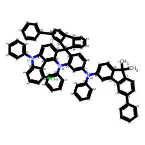 CC1(C)c2ccc(-c3ccccc3)cc2-c2cc(N(c3ccccc3)c3ccc4c(c3)N(c3ccccc3)c3c(ccc5c3c3c(Cl)cccc3n5-c3ccccc3)C43c4ccccc4-c4ccc(-c5ccccc5)cc43)ccc21